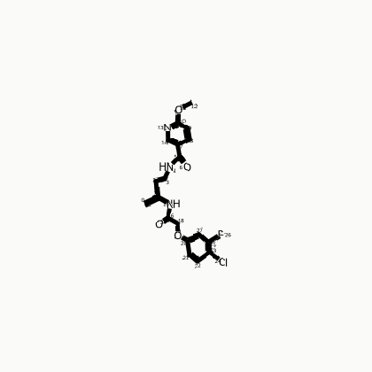 C=C(CCNC(=O)c1ccc(OC)nc1)NC(=O)COc1ccc(Cl)c(F)c1